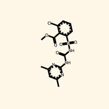 COC(=O)c1c(Cl)cccc1S(=O)(=O)NC(=O)Nc1nc(C)cc(C)n1